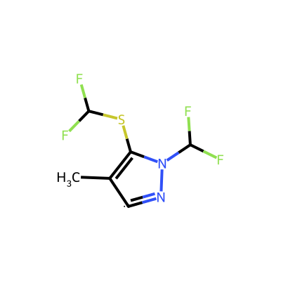 Cc1[c]nn(C(F)F)c1SC(F)F